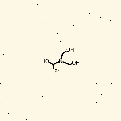 CC(C)C(O)N(CO)CO